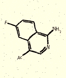 CC(=O)c1cnc(N)c2ccc(F)cc12